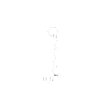 NC(=O)COCCCOCCN1CCCCC1